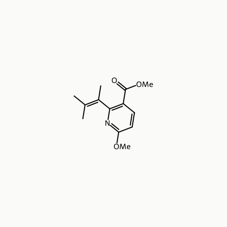 COC(=O)c1ccc(OC)nc1C(C)=C(C)C